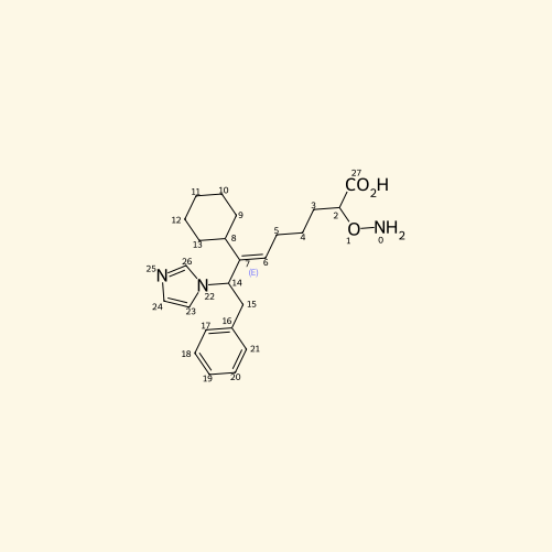 NOC(CCC/C=C(\C1CCCCC1)C(Cc1ccccc1)n1ccnc1)C(=O)O